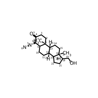 C[C@]12CCC(=O)C(=[N+]=[N-])C1CC[C@@H]1[C@H]2CC[C@]2(C)C(CO)CC[C@@H]12